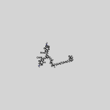 C/C=C1\C[C@H]2CNc3cc(OCc4cc(OCCN(C)CC(C)(C)SCC(=O)N(C)CCOCCOCCOCCOCCC(=O)ON5C(=O)CCC5=O)cc(COc5cc6c(cc5OC)C(=O)N5C/C(=C/C)C[C@H]5C=N6)n4)c(OC)cc3C(=O)N2C1